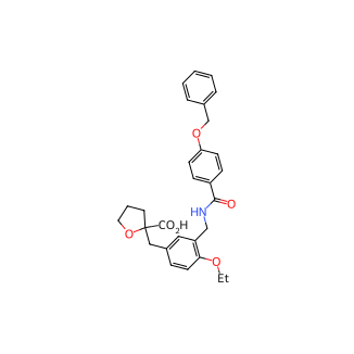 CCOc1ccc(CC2(C(=O)O)CCCO2)cc1CNC(=O)c1ccc(OCc2ccccc2)cc1